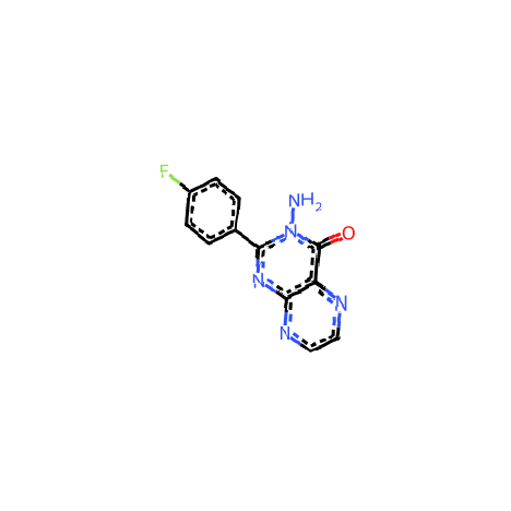 Nn1c(-c2ccc(F)cc2)nc2nccnc2c1=O